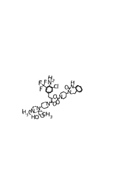 CCC1(C(=O)O)CN(C)CCN1C1CCN(C(=O)C(Cc2cc(Cl)c(N)c(C(F)(F)F)c2)OC(=O)N2CCC(N3CCc4ccccc4NC3=O)CC2)CC1